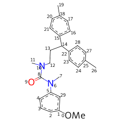 COc1cccc(N(C)C(=O)N(C)CCC(c2ccc(C)cc2)c2ccc(C)cc2)c1